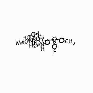 COC(=O)N[C@H](C(=O)N1CCC[C@H]1C(=O)Nc1ccc([C@@H]2CC[C@@H](c3ccc(C)cc3)N2c2ccc(F)cc2)cc1)C(C)(C)O